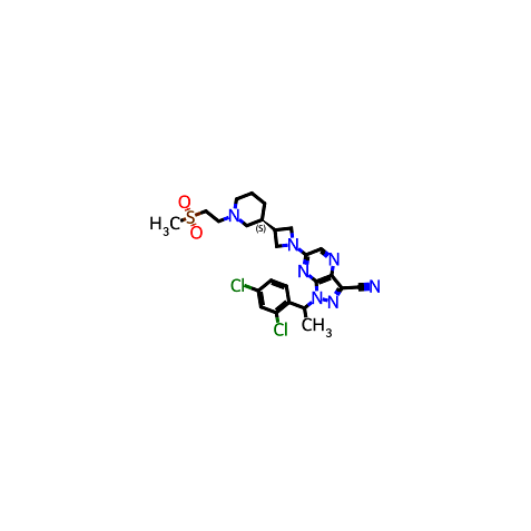 CC(c1ccc(Cl)cc1Cl)n1nc(C#N)c2ncc(N3CC([C@@H]4CCCN(CCS(C)(=O)=O)C4)C3)nc21